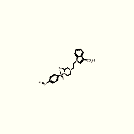 CC(C)Oc1ccc(S(=O)(=O)N2CCN(CCn3cc(C(=O)O)c4ccccc43)CC2C)cc1